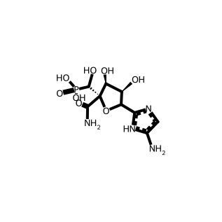 NC(=O)[C@]1(C(O)P(=O)(O)O)OC(c2ncc(N)[nH]2)[C@H](O)[C@@H]1O